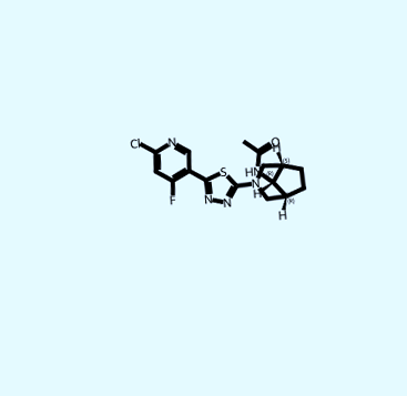 CC(=O)N[C@H]1[C@@H]2CC[C@H]1CN(c1nnc(-c3cnc(Cl)cc3F)s1)C2